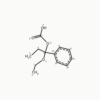 CCOC(CC)(OC(=O)O)c1ccccc1